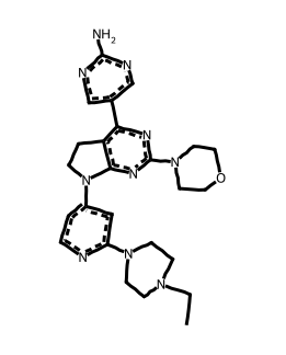 CCN1CCN(c2cc(N3CCc4c(-c5cnc(N)nc5)nc(N5CCOCC5)nc43)ccn2)CC1